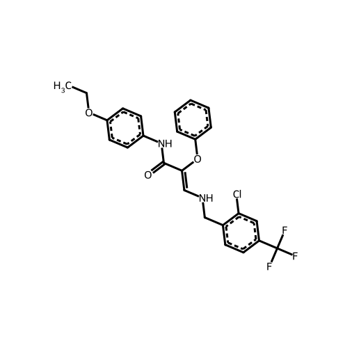 CCOc1ccc(NC(=O)/C(=C/NCc2ccc(C(F)(F)F)cc2Cl)Oc2ccccc2)cc1